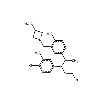 Cc1cc(N(CCO)C(C)c2ccc(C)c(CN3CC(C(=O)O)C3)c2)ccc1Cl